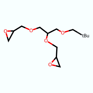 CC(C)(C)COCC(COCC1CO1)OCC1CO1